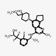 COCC1(O)CCN(c2cc3c(N[C@H](C)c4cccc(C(F)(F)[C@@H](C)O)c4F)nc(C)nc3c3c2CCC3)CC1